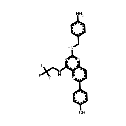 Nc1ccc(CNc2nc(NCC(F)(F)F)c3nc(-c4ccc(O)cc4)ccc3n2)cc1